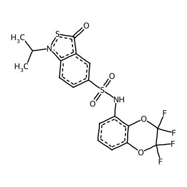 CC(C)n1sc(=O)c2cc(S(=O)(=O)Nc3cccc4c3OC(F)(F)C(F)(F)O4)ccc21